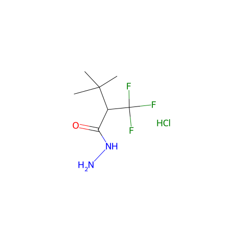 CC(C)(C)C(C(=O)NN)C(F)(F)F.Cl